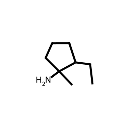 CCC1CCCC1(C)N